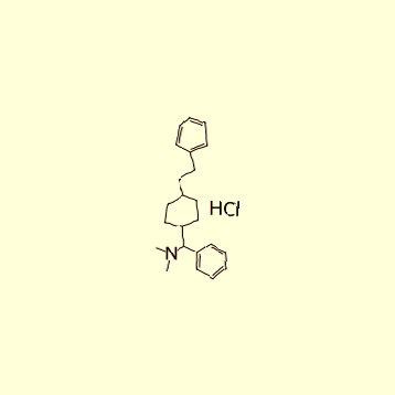 CN(C)C(c1ccccc1)C1CCC(CCc2ccccc2)CC1.Cl